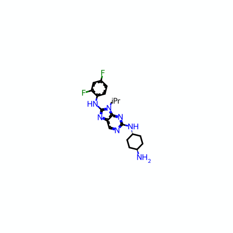 CC(C)n1c(Nc2ccc(F)cc2F)nc2cnc(N[C@H]3CC[C@H](N)CC3)nc21